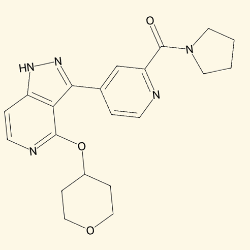 O=C(c1cc(-c2n[nH]c3ccnc(OC4CCOCC4)c23)ccn1)N1CCCC1